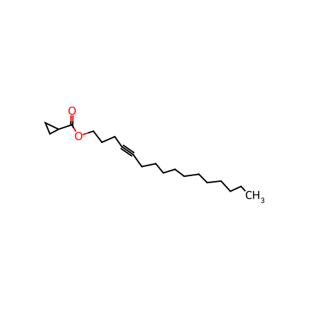 CCCCCCCCCCCC#CCCCOC(=O)C1CC1